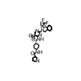 O=C(N[C@H]1CC[C@H](CNc2nc(NCc3ccccc3OC(F)(F)F)ncc2[N+](=O)[O-])CC1)c1cccnc1